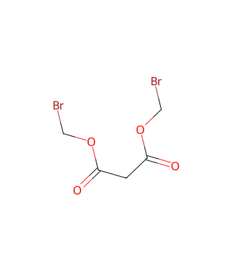 O=C(CC(=O)OCBr)OCBr